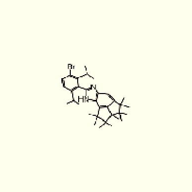 CC(C)c1ccc(Br)c(C(C)C)c1-c1nc2cc3c4c(c2[nH]1)C(C)(C)C(C)(C)C4(C)C(C)(C)C3(C)C